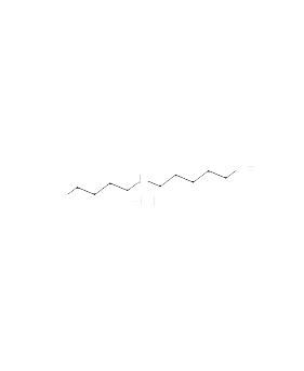 CCCCCCPCCCCC.Cl